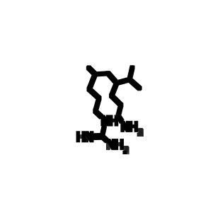 CC(CCCNC(=N)N)CC(CCCN)C(C)C